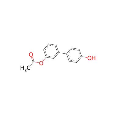 CC(=O)Oc1cccc(-c2ccc(O)cc2)c1